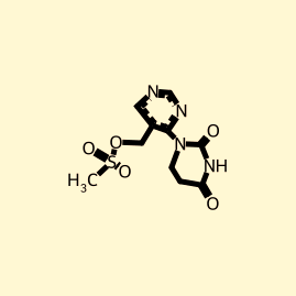 CS(=O)(=O)OCc1cncnc1N1CCC(=O)NC1=O